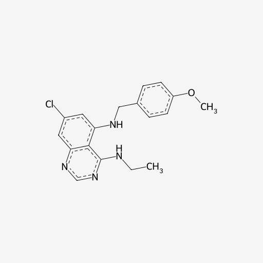 CCNc1ncnc2cc(Cl)cc(NCc3ccc(OC)cc3)c12